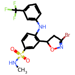 CNS(=O)(=O)c1ccc(Nc2cccc(C(F)(F)F)c2)c(C2CC(Br)=NO2)c1